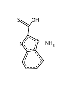 N.OC(=S)c1nc2ccccc2s1